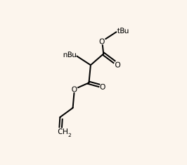 C=CCOC(=O)C(CCCC)C(=O)OC(C)(C)C